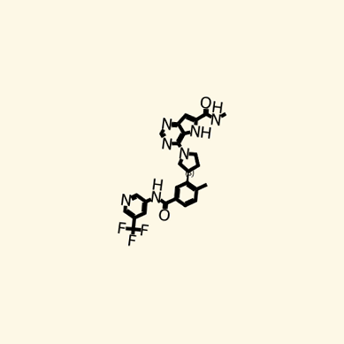 CNC(=O)c1cc2ncnc(N3CC[C@@H](c4cc(C(=O)Nc5cncc(C(F)(F)F)c5)ccc4C)C3)c2[nH]1